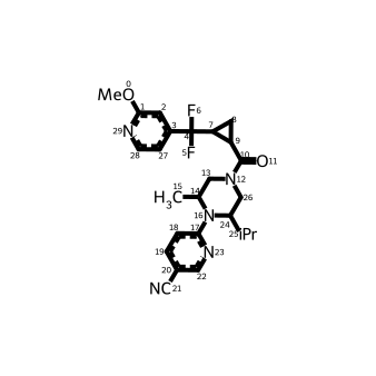 COc1cc(C(F)(F)C2CC2C(=O)N2CC(C)N(c3ccc(C#N)cn3)C(C(C)C)C2)ccn1